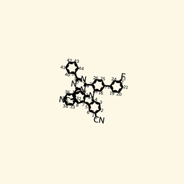 N#Cc1ccc2c(c1)c1cc(C#N)ccc1n2-c1cc(-c2cccc(F)c2)ccc1-c1nc(-c2ccccc2)nc(-c2ccccc2)n1